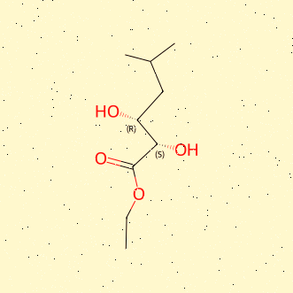 CCOC(=O)[C@@H](O)[C@H](O)CC(C)C